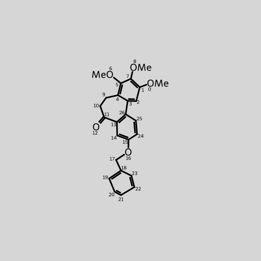 COc1cc2c(c(OC)c1OC)CCC(=O)c1cc(OCc3ccccc3)ccc1-2